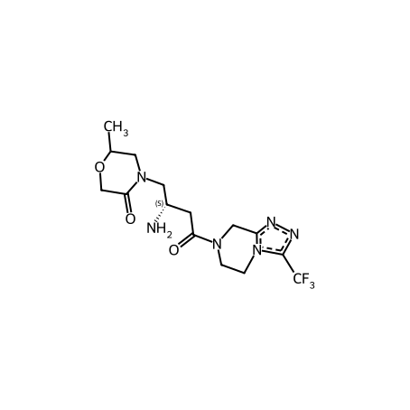 CC1CN(C[C@@H](N)CC(=O)N2CCn3c(nnc3C(F)(F)F)C2)C(=O)CO1